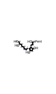 CCCCC[C@H](O)/C=C/[C@@H]1[C@@H](C/C=C\CCCC(O)CO)[C@@H](O)C[C@H]1O